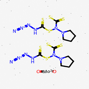 [N-]=[N+]=NNC(=S)SN(C(=S)[S-])N1CCCC1.[N-]=[N+]=NNC(=S)SN(C(=S)[S-])N1CCCC1.[O]=[Mo+2]=[O]